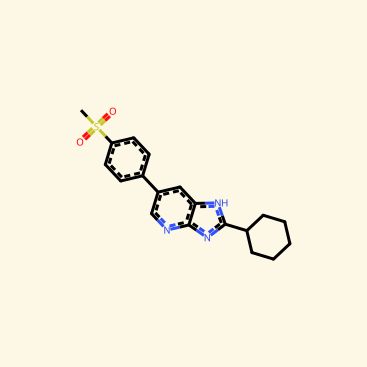 CS(=O)(=O)c1ccc(-c2cnc3nc(C4CCCCC4)[nH]c3c2)cc1